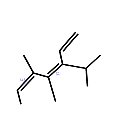 C=C/C(=C(C)\C(C)=C/C)C(C)C